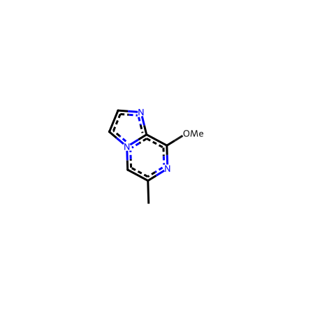 COc1nc(C)cn2ccnc12